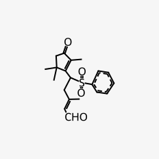 CC1=C(C(C/C(C)=C/C=O)S(=O)(=O)c2ccccc2)C(C)(C)CC1=O